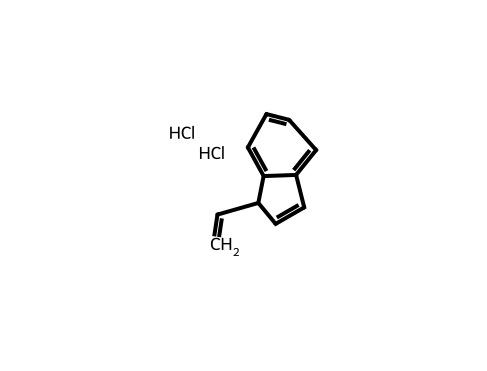 C=CC1C=Cc2ccccc21.Cl.Cl